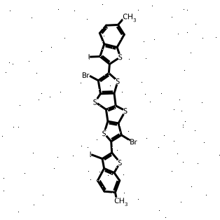 Cc1ccc2c(I)c(-c3sc4c(sc5c6sc(-c7sc8cc(C)ccc8c7I)c(Br)c6sc45)c3Br)sc2c1